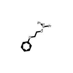 CC(C)[SiH](OCCOc1ccccc1)C(C)C